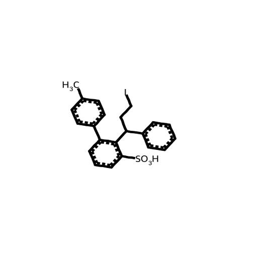 Cc1ccc(-c2cccc(S(=O)(=O)O)c2C(CCI)c2ccccc2)cc1